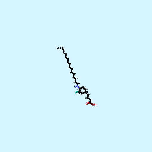 CCCCCCCCCCCCCCCCNc1ccc(CCCC(=O)O)cc1F